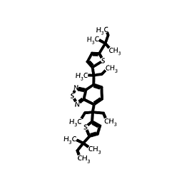 CCC(C)(C)c1ccc(C(C)(CC)c2ccc(C(CC)(CC)c3ccc(C(C)(C)CC)s3)c3nsnc23)s1